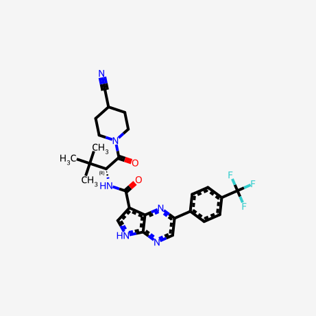 CC(C)(C)[C@@H](NC(=O)c1c[nH]c2ncc(-c3ccc(C(F)(F)F)cc3)nc12)C(=O)N1CCC(C#N)CC1